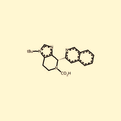 CC(C)(C)n1cnc2c1CCN(C(=O)O)[C@H]2c1cc2ccccc2cn1